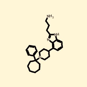 NCCCc1nc2c(C3CCN(C4(c5ccccc5)CCCCCC4)CC3)cccc2[nH]1